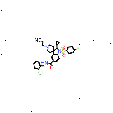 N#CCCN1CCC2(CC1)c1cc(C(=O)NCc3ccccc3Cl)ccc1N(S(=O)(=O)c1ccc(F)cc1)C2C1CC1